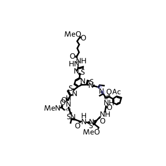 C/C=C1\N=C(/C)[C@H]([C@@H](OC(C)=O)c2ccccc2)NC(=O)CNC(=O)c2nc(sc2COC)NC(=O)c2nc(sc2C)[C@H](CC(=O)NC)NC(=O)c2csc(n2)-c2ccc(-c3nc(NNC(=O)CCCCC(=O)OC)cs3)nc2-c2csc1n2